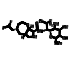 CSC1O[C@H]([C@H](NC(=O)[C@H]2NC[C@@H]3C[C@H](CC(F)F)CCO[C@H]32)[C@H](C)Cl)C(O)[C@@H](O)[C@H]1O